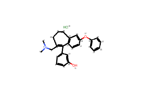 CN(C)CC1=C(c2cccc(O)c2)c2ccc(Oc3ccccc3)cc2CCC1.Cl